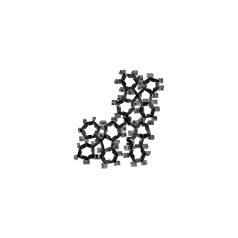 c1ccc(C2(c3ccccc3)c3ccccc3-c3cc(N(c4ccc5c(c4)C4(c6ccccc6-c6ccccc64)c4ccccc4-5)c4cccc5c4sc4ccccc45)ccc32)cc1